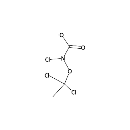 CC(Cl)(Cl)ON(Cl)C([O])=O